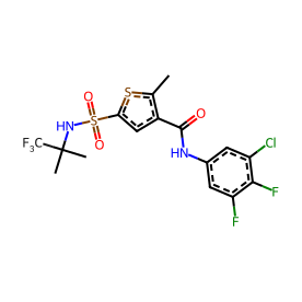 Cc1sc(S(=O)(=O)NC(C)(C)C(F)(F)F)cc1C(=O)Nc1cc(F)c(F)c(Cl)c1